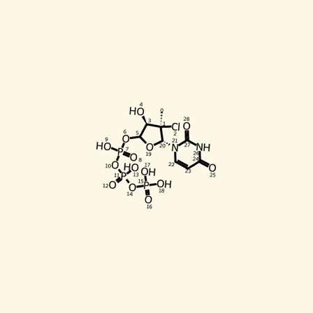 C[C@@]1(Cl)[C@H](O)C(OP(=O)(O)OP(=O)(O)OP(=O)(O)O)O[C@H]1n1ccc(=O)[nH]c1=O